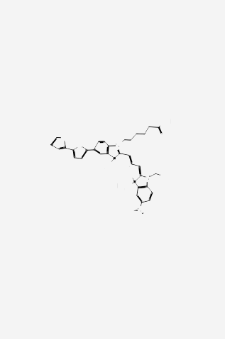 CCN1/C(=C/C=C/C2=[N+](CCCCCC(=O)O)c3ccc(-c4ccc(-c5cccs5)s4)cc3C2(C)C)C(C)(C)c2cc([N+](=O)[O-])ccc21